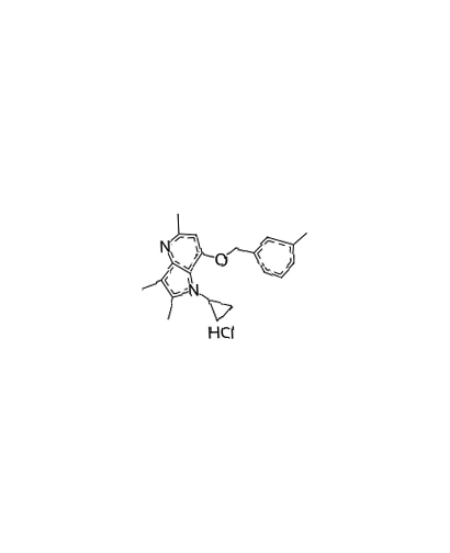 Cc1cccc(COc2cc(C)nc3c(C)c(C)n(C4CC4)c23)c1.Cl